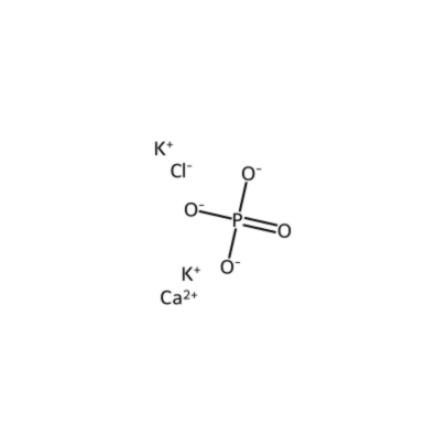 O=P([O-])([O-])[O-].[Ca+2].[Cl-].[K+].[K+]